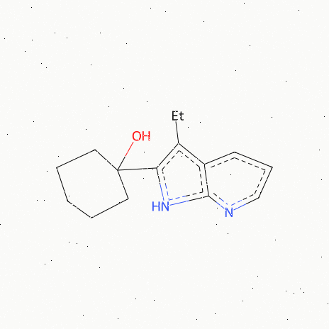 CCc1c(C2(O)CCCCC2)[nH]c2ncccc12